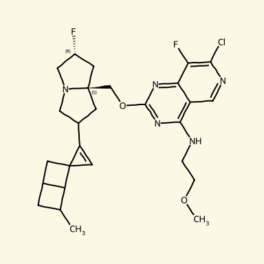 COCCNc1nc(OC[C@@]23CC(C4=CC45CC4CC(C)C45)CN2C[C@H](F)C3)nc2c(F)c(Cl)ncc12